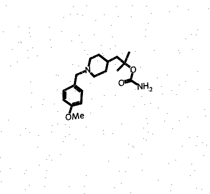 COc1ccc(CN2CCC(CC(C)(C)OC(N)=O)CC2)cc1